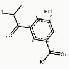 CC(C)C(=O)c1cccc(C(=O)O)c1.Cl